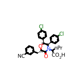 CCCC(C(=O)O)N1C(=O)[C@H](Cc2cccc(C#N)c2)O[C@@H](c2ccc(Cl)cc2)[C@H]1c1ccc(Cl)cc1